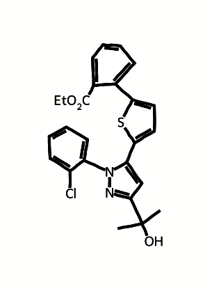 CCOC(=O)c1ccccc1-c1ccc(-c2cc(C(C)(C)O)nn2-c2ccccc2Cl)s1